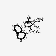 CO[C@H]1[C@H](c2cccc3ccccc23)O[C@@H]2C(O)[C@@]21O